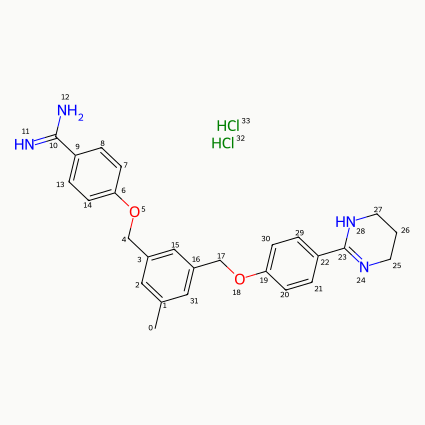 Cc1cc(COc2ccc(C(=N)N)cc2)cc(COc2ccc(C3=NCCCN3)cc2)c1.Cl.Cl